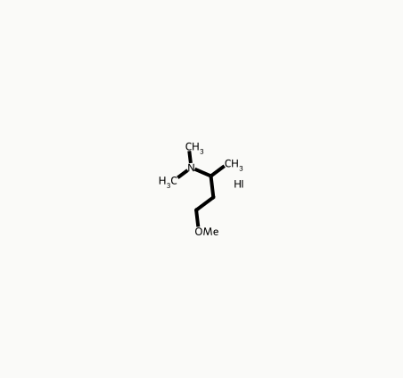 COCCC(C)N(C)C.I